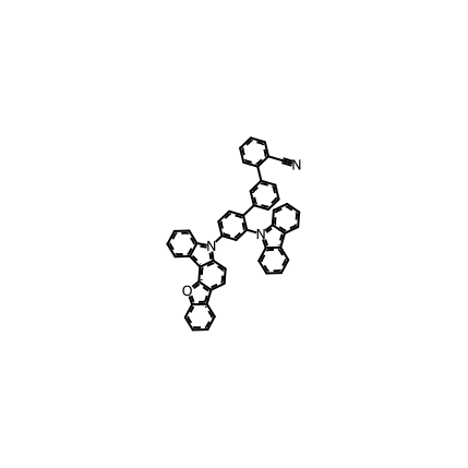 N#Cc1ccccc1-c1cccc(-c2ccc(-n3c4ccccc4c4c5oc6ccccc6c5ccc43)cc2-n2c3ccccc3c3ccccc32)c1